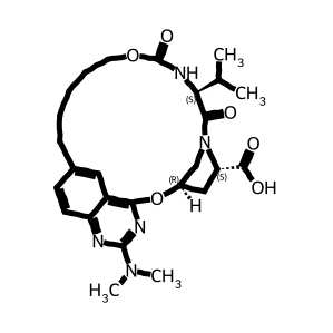 CC(C)[C@@H]1NC(=O)OCCCCCc2ccc3nc(N(C)C)nc(c3c2)O[C@@H]2C[C@@H](C(=O)O)N(C2)C1=O